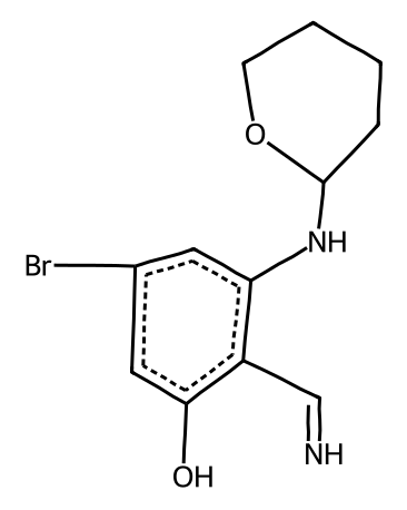 N=Cc1c(O)cc(Br)cc1NC1CCCCO1